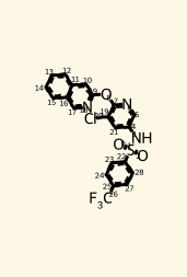 O=S(=O)(Nc1cnc(Oc2cc3ccccc3cn2)c(Cl)c1)c1ccc(C(F)(F)F)cc1